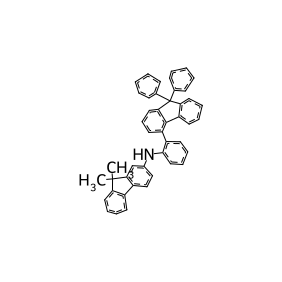 CC1(C)c2ccccc2-c2ccc(Nc3ccccc3-c3cccc4c3-c3ccccc3C4(c3ccccc3)c3ccccc3)cc21